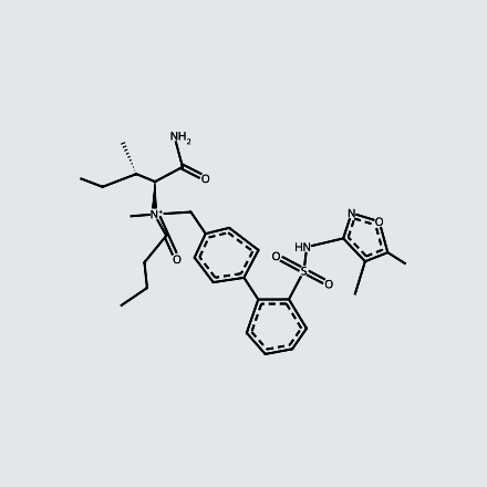 CCCC(=O)[N+](C)(Cc1ccc(-c2ccccc2S(=O)(=O)Nc2noc(C)c2C)cc1)[C@H](C(N)=O)[C@@H](C)CC